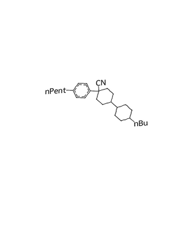 CCCCCc1ccc(C2(C#N)CCC(C3CCC(CCCC)CC3)CC2)cc1